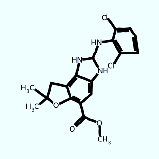 COC(=O)c1cc2c(c3c1OC(C)(C)C3)NC(Nc1c(Cl)cccc1Cl)N2